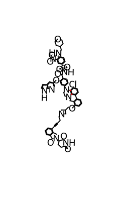 O=C1CCC(N2Cc3c(C#CCCN4CC(COc5cccc(-c6ccc(Cl)cc6)c5CN5CCN(c6ccc(C(=O)NS(=O)(=O)c7ccc(NCC8CCOCC8)c([N+](=O)[O-])c7)c(Oc7cnc8[nH]ccc8c7)c6)CC5)C4)cccc3C2=O)C(=O)N1